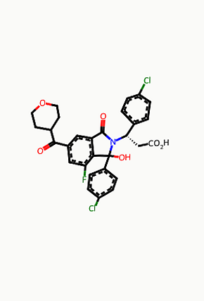 O=C(O)C[C@@H](c1ccc(Cl)cc1)N1C(=O)c2cc(C(=O)C3CCOCC3)cc(F)c2C1(O)c1ccc(Cl)cc1